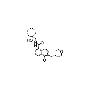 O=C(NCC1(O)CCCCCC1)c1cccc2c(=O)n(CC3CCOCC3)ccc12